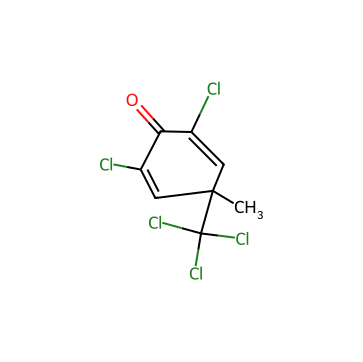 CC1(C(Cl)(Cl)Cl)C=C(Cl)C(=O)C(Cl)=C1